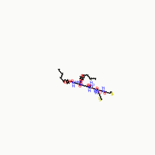 Cc1c(C)c2c(c(C)c1OCC(=O)NCCCC[C@H](NC(=O)COc1c(C)c(C)c3c(c1C)CC[C@@](C)(CCC[C@H](C)CCC[C@H](C)CCCC(C)C)O3)C(=O)NCCCCCC(=O)N[C@@H](CCCCNC(=O)[C@H](CCCCNC(=O)CCCCC1CCSS1)NC(=O)CCCCC1CCSS1)C(N)=O)CC[C@@](C)(CCC[C@H](C)CCC[C@H](C)CCCC(C)C)O2